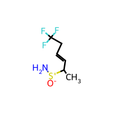 CC(C=CCC(F)(F)F)[S+](N)[O-]